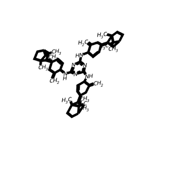 C=C1CC(=C2CC3CCC2(C)C3(C)C)C=CC1Nc1nc(NC2C=CC(=C3CC4CCC3(C)C4(C)C)CC2=C)nc(NC2C=CC(=C3CC4CCC3(C)C4(C)C)CC2=C)n1